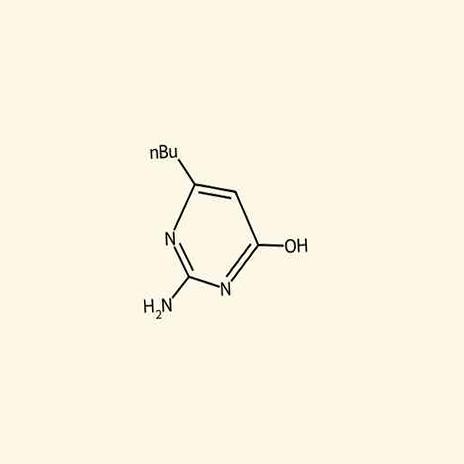 CCCCc1cc(O)nc(N)n1